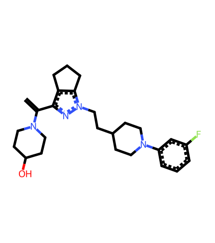 C=C(c1nn(CCC2CCN(c3cccc(F)c3)CC2)c2c1CCC2)N1CCC(O)CC1